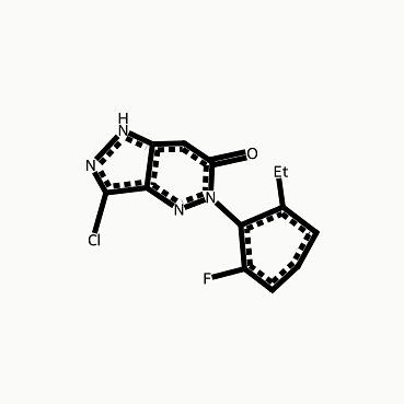 CCc1cccc(F)c1-n1nc2c(Cl)n[nH]c2cc1=O